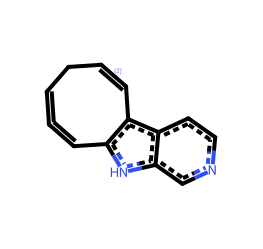 C1=CC/C=C\c2c([nH]c3cnccc23)C=1